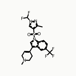 Cc1nn(C(F)F)cc1S(=O)(=O)n1cc(C2=CCN(C)CC2)c2cc(C(F)(F)F)ccc21